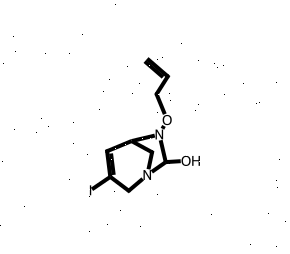 C=CCON1C2C=C(I)CN(C2)C1O